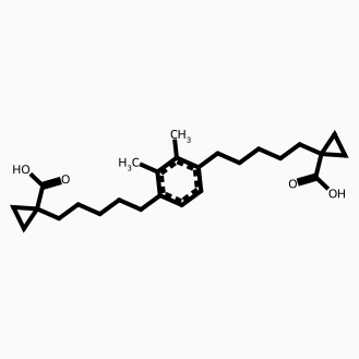 Cc1c(CCCCCC2(C(=O)O)CC2)ccc(CCCCCC2(C(=O)O)CC2)c1C